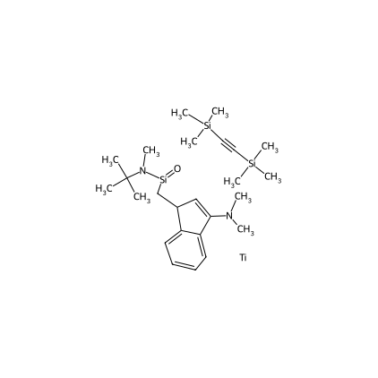 CN(C)C1=CC(C[Si](=O)N(C)C(C)(C)C)c2ccccc21.C[Si](C)(C)C#C[Si](C)(C)C.[Ti]